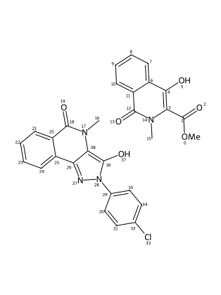 COC(=O)c1c(O)c2ccccc2c(=O)n1C.Cn1c(=O)c2ccccc2c2nn(-c3ccc(Cl)cc3)c(O)c21